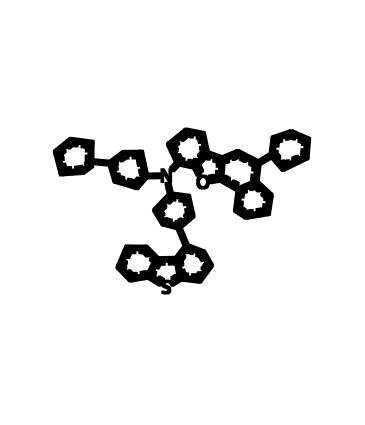 c1ccc(-c2ccc(N(c3ccc(-c4cccc5sc6ccccc6c45)cc3)c3cccc4c3oc3c5ccccc5c(-c5ccccc5)cc43)cc2)cc1